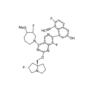 C#Cc1c(F)ccc2cc(O)cc(-c3ncc4c(N5CCCC(OC)C(F)C5)nc(OC[C@@]56CCCN5C[C@H](F)C6)nc4c3F)c12